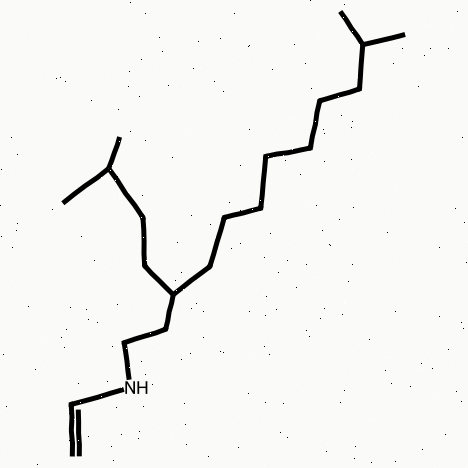 C=CNCCC(CCCCCCCC(C)C)CCC(C)C